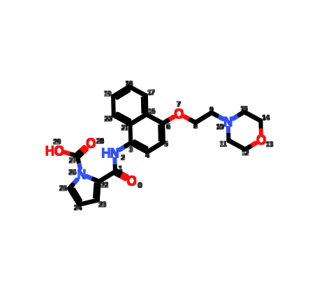 O=C(Nc1ccc(OCCN2CCOCC2)c2ccccc12)c1cccn1C(=O)O